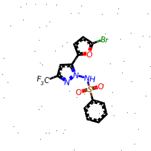 O=S(=O)(Nn1nc(C(F)(F)F)cc1-c1ccc(Br)o1)c1ccccc1